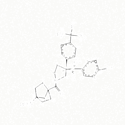 O=C(O)C12CCC(C(=O)N3CC[C@](c4ccc(C(F)(C(F)(F)F)C(F)(F)F)cc4)(S(=O)(=O)c4ccc(F)cc4)C3)(CC1)C2